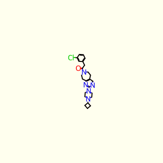 O=C(Cc1cccc(Cl)c1)N1CCc2cnc(N3CCN(C4CCC4)CC3)nc2CC1